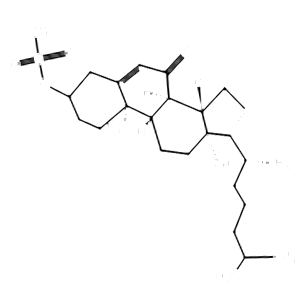 CC(C)CCC[C@@H](C)[C@H]1CC[C@H]2[C@@H]3C(=O)C=C4CC(OS(=O)(=O)O)CC[C@]4(C)[C@H]3CC[C@]12C